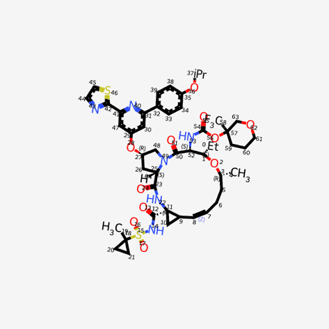 CC[C@@H]1O[C@H](C)CC/C=C\C2C[C@@]2(C(=O)NS(=O)(=O)C2(C)CC2)NC(=O)[C@@H]2C[C@@H](Oc3cc(-c4ccc(OC(C)C)cc4)nc(-c4nccs4)c3)CN2C(=O)[C@H]1NC(=O)OC1(C(F)(F)F)CCCOC1